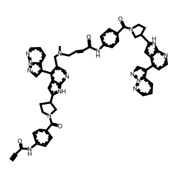 C#CC(=O)Nc1ccc(C(=O)N2CCC(c3cc4c(-c5cnn6ncccc56)c(CN(C)C/C=C/C(=O)Nc5ccc(C(=O)N6CCC(c7cc8c(-c9cnn%10ncccc9%10)ccnc8[nH]7)C6)cc5)cnc4[nH]3)C2)cc1